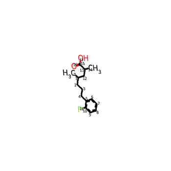 CC(CCCc1ccccc1F)CC(C)C(=O)O